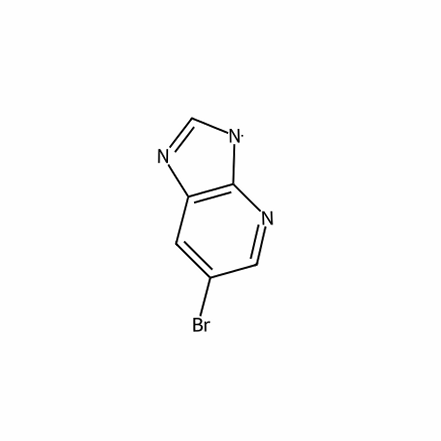 Brc1cnc2c(c1)N=C[N]2